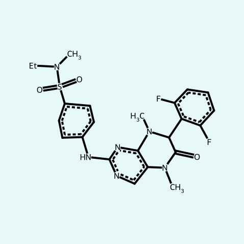 CCN(C)S(=O)(=O)c1ccc(Nc2ncc3c(n2)N(C)C(c2c(F)cccc2F)C(=O)N3C)cc1